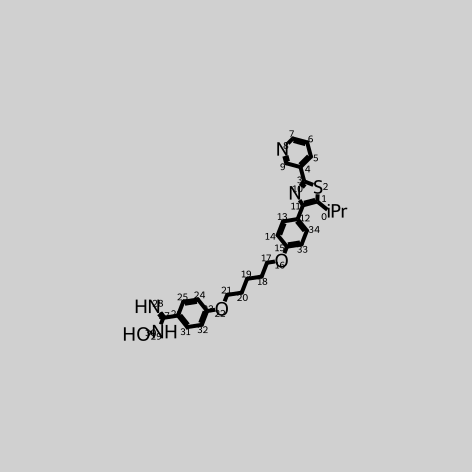 CC(C)c1sc(-c2cccnc2)nc1-c1ccc(OCCCCCOc2ccc(C(=N)NO)cc2)cc1